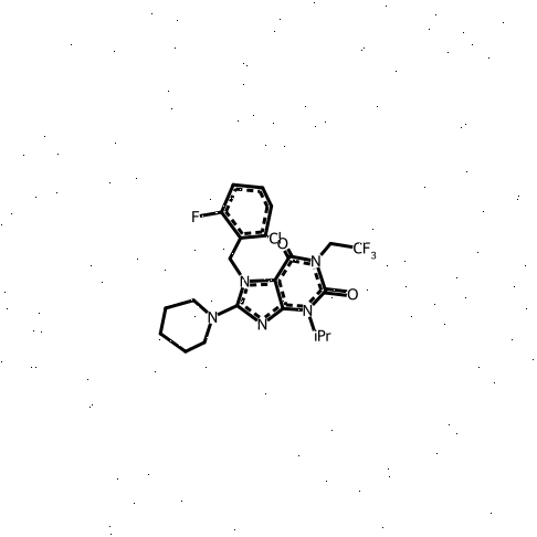 CC(C)n1c(=O)n(CC(F)(F)F)c(=O)c2c1nc(N1CCCCC1)n2Cc1c(F)cccc1Cl